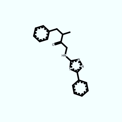 CC(Cc1ccccc1)C(=O)CNc1nnc(-c2ccccc2)s1